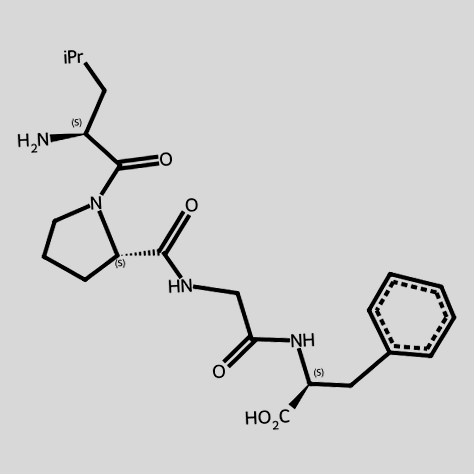 CC(C)C[C@H](N)C(=O)N1CCC[C@H]1C(=O)NCC(=O)N[C@@H](Cc1ccccc1)C(=O)O